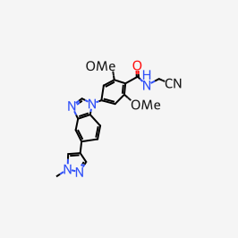 COc1cc(-n2cnc3cc(-c4cnn(C)c4)ccc32)cc(OC)c1C(=O)NCC#N